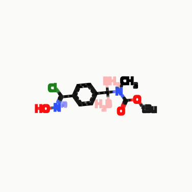 BC(B)(c1ccc(/C(Cl)=N/O)cc1)N(C)C(=O)OC(C)(C)C